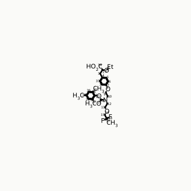 CCOC(Cc1ccc(OCCN(CCOCC(C)(F)F)C(=O)Oc2c(C)cc(C)cc2C)cc1)C(=O)O